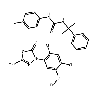 CC(C)Oc1cc(-n2nc(C(C)(C)C)oc2=O)c(Cl)cc1Cl.Cc1ccc(NC(=O)NC(C)(C)c2ccccc2)cc1